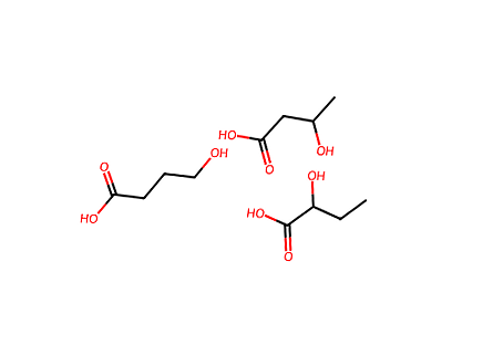 CC(O)CC(=O)O.CCC(O)C(=O)O.O=C(O)CCCO